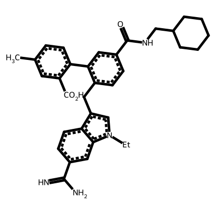 CCn1cc(Cc2ccc(C(=O)NCC3CCCCC3)cc2-c2ccc(C)cc2C(=O)O)c2ccc(C(=N)N)cc21